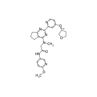 COc1ccc(NC(=O)CN(C)c2nc(-c3cc(O[C@H]4CCOC4)ccn3)nc3c2CCC3)cn1